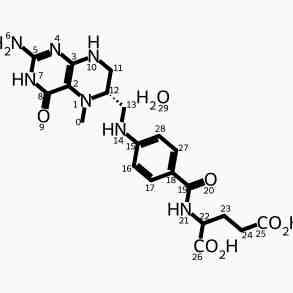 CN1c2c(nc(N)[nH]c2=O)NC[C@@H]1CNc1ccc(C(=O)NC(CCC(=O)O)C(=O)O)cc1.O